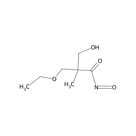 CCOCC(C)(CO)C(=O)N=O